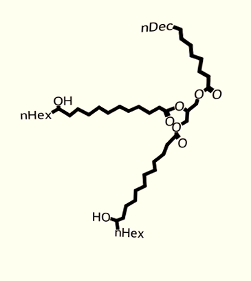 CCCCCCCCCCCCCCCCCC(=O)OCC(COC(=O)CCCCCCCCCCC(O)CCCCCC)OC(=O)CCCCCCCCCCC(O)CCCCCC